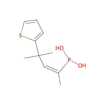 C/C(=C/C(C)(C)c1cccs1)P(O)O